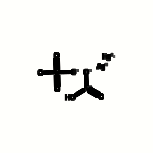 O=S(=O)([O-])[O-].O=[N+]([O-])O.[Ag+].[Hg+]